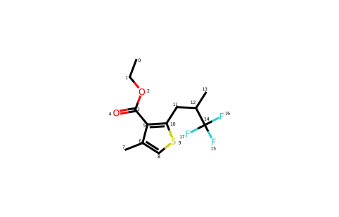 CCOC(=O)c1c(C)csc1CC(C)C(F)(F)F